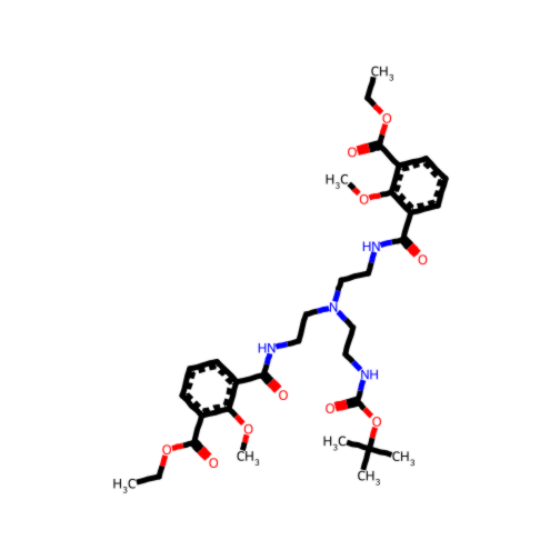 CCOC(=O)c1cccc(C(=O)NCCN(CCNC(=O)OC(C)(C)C)CCNC(=O)c2cccc(C(=O)OCC)c2OC)c1OC